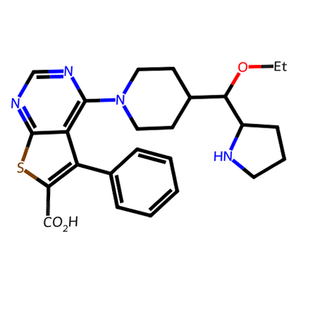 CCOC(C1CCN(c2ncnc3sc(C(=O)O)c(-c4ccccc4)c23)CC1)C1CCCN1